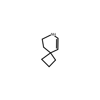 C1=CC2(CCC2)CCN1